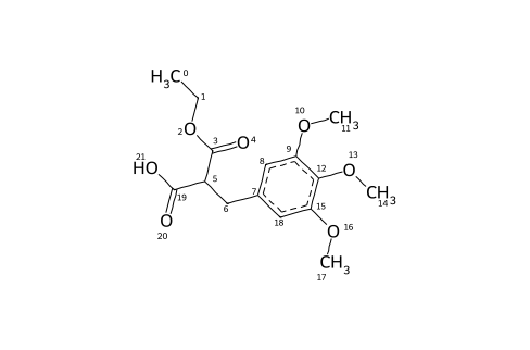 CCOC(=O)C(Cc1cc(OC)c(OC)c(OC)c1)C(=O)O